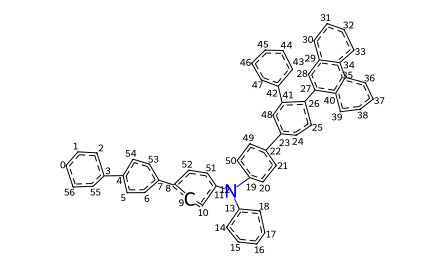 c1ccc(-c2ccc(-c3ccc(N(c4ccccc4)c4ccc(-c5ccc(-c6cc7ccccc7c7ccccc67)c(-c6ccccc6)c5)cc4)cc3)cc2)cc1